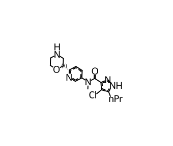 CCCc1[nH]nc(C(=O)N(C)c2ccc([C@H]3CNCCO3)nc2)c1Cl